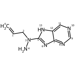 C=CCN(N)c1nc2ncncc2[nH]1